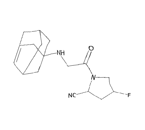 N#CC1CC(F)CN1C(=O)CNC12CC3=CC(CC(C3)C1)C2